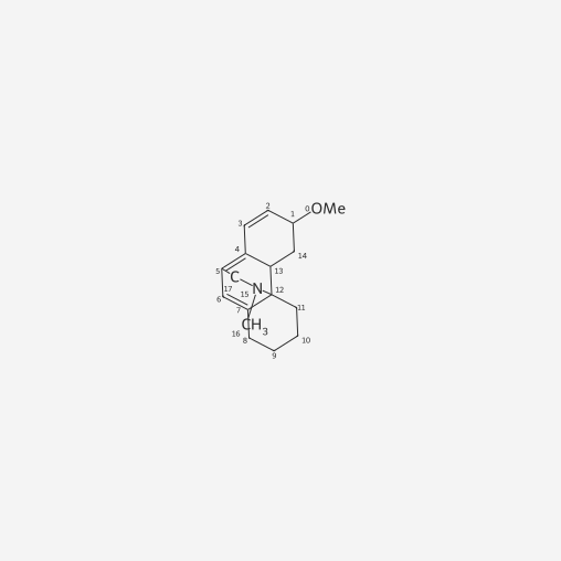 COC1C=CC2=C3C=C4CCCCC4(C2C1)N(C)C3